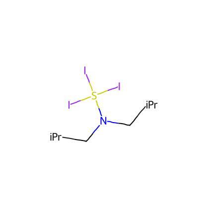 CC(C)CN(CC(C)C)S(I)(I)I